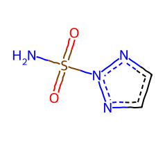 NS(=O)(=O)n1nccn1